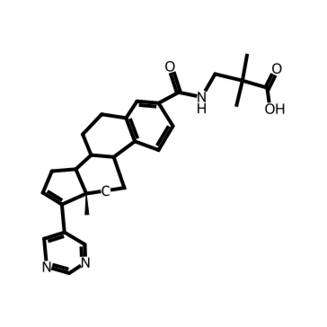 CC(C)(CNC(=O)c1ccc2c(c1)CCC1C2CC[C@]2(C)C(c3cncnc3)=CCC12)C(=O)O